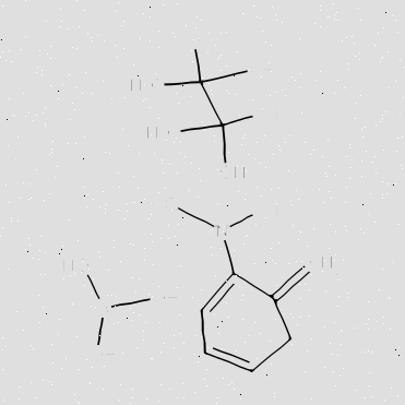 C=C1CC=CC=C1N(C)C.CC(C)(O)C(C)(C)O.OB(O)O